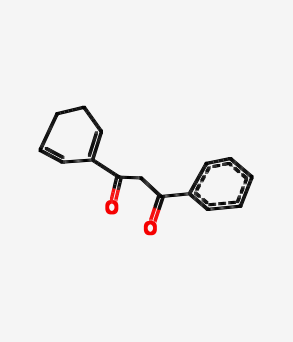 O=C(CC(=O)c1ccccc1)C1=CCCC=C1